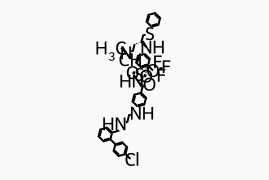 CN(C)CC[C@H](CSc1ccccc1)Nc1ccc(S(=O)(=O)NC(=O)c2ccc(NCCNCc3ccccc3-c3ccc(Cl)cc3)cc2)c(OC(F)(F)F)c1